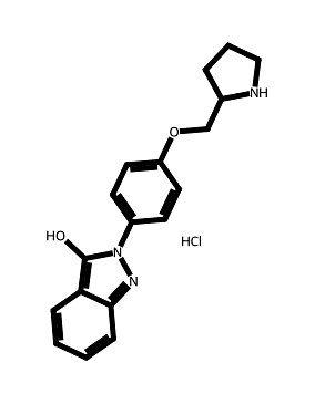 Cl.Oc1c2ccccc2nn1-c1ccc(OCC2CCCN2)cc1